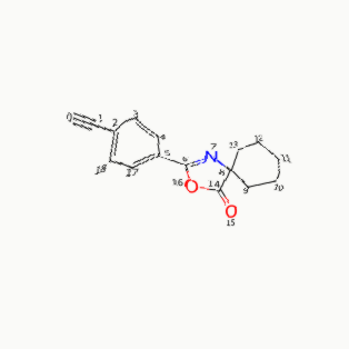 C#Cc1ccc(C2=NC3(CCCCC3)C(=O)O2)cc1